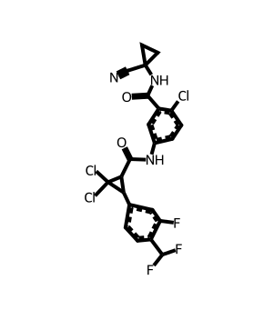 N#CC1(NC(=O)c2cc(NC(=O)C3C(c4ccc(C(F)F)c(F)c4)C3(Cl)Cl)ccc2Cl)CC1